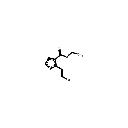 CCOC(=O)c1ccoc1CCO